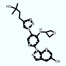 CC(C)(O)CCc1cn(-c2cnc(-n3ncc4cc(C#N)cnc43)cc2NC2COC2)nn1